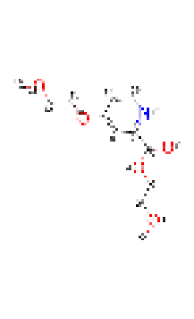 COCCOC(=O)c1cc(OCCOC)ccn1